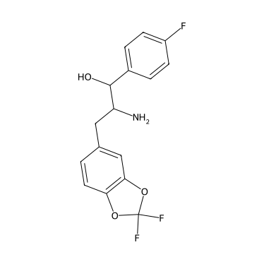 NC(Cc1ccc2c(c1)OC(F)(F)O2)C(O)c1ccc(F)cc1